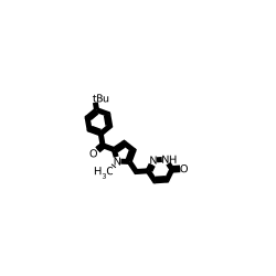 Cn1c(Cc2ccc(=O)[nH]n2)ccc1C(=O)c1ccc(C(C)(C)C)cc1